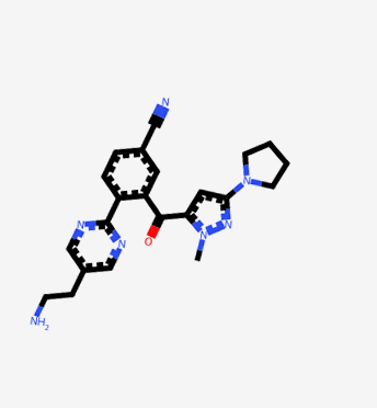 Cn1nc(N2CCCC2)cc1C(=O)c1cc(C#N)ccc1-c1ncc(CCN)cn1